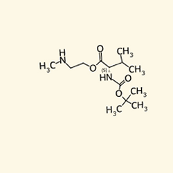 CNCCOC(=O)[C@@H](NC(=O)OC(C)(C)C)C(C)C